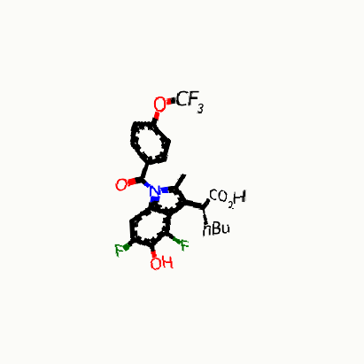 CCCC[C@H](C(=O)O)c1c(C)n(C(=O)c2ccc(OC(F)(F)F)cc2)c2cc(F)c(O)c(F)c12